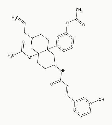 C=CCN1CCC2(c3cccc(OC(C)=O)c3)CC(NC(=O)/C=C/c3cccc(O)c3)CCC2(OC(C)=O)C1